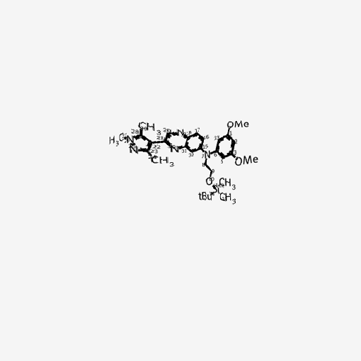 COc1cc(OC)cc(N(CCO[Si](C)(C)C(C)(C)C)c2ccc3ncc(-c4c(C)nn(C)c4C)nc3c2)c1